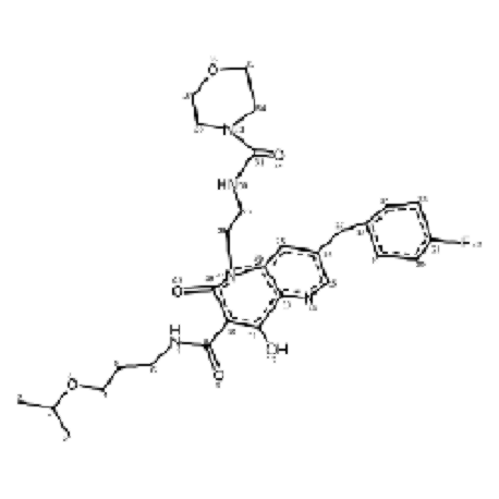 CC(C)OCCCNC(=O)c1c(O)c2ncc(Cc3ccc(F)cc3)cc2n(CCNC(=O)N2CCOCC2)c1=O